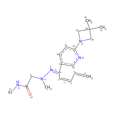 C=C/C=C\C(=N/N(C)CC(=O)NCC)c1ccc(N2CC(C)(C)C2)nc1